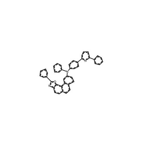 c1ccc(-c2cccc(-c3ccc(N(c4ccccc4)c4ccc5ccc6ccc7nc(-c8ccccc8)oc7c6c5c4)cc3)n2)cc1